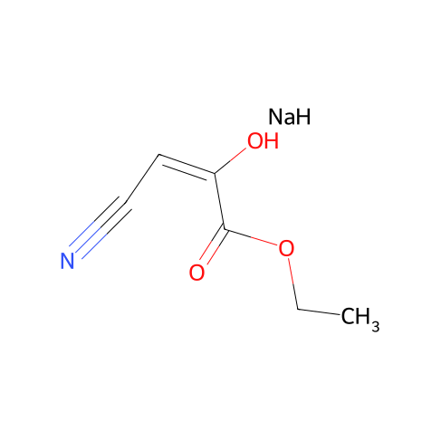 CCOC(=O)/C(O)=C\C#N.[NaH]